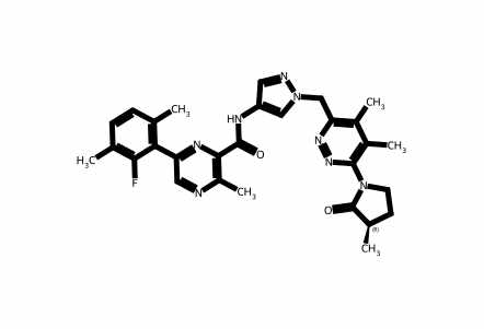 Cc1ccc(C)c(-c2cnc(C)c(C(=O)Nc3cnn(Cc4nnc(N5CC[C@@H](C)C5=O)c(C)c4C)c3)n2)c1F